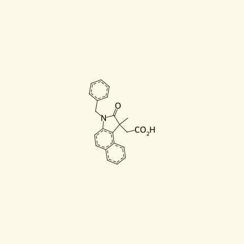 CC1(CC(=O)O)C(=O)N(Cc2ccccc2)c2ccc3ccccc3c21